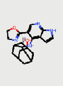 O[C@]12CC3CC(C1)[C@H](Nc1c(C4=NCCO4)cnc4[nH]ccc14)C(C3)C2